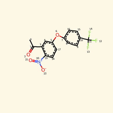 CC(=O)c1cc(Oc2ccc(C(F)(F)F)cc2)ccc1[N+](=O)[O-]